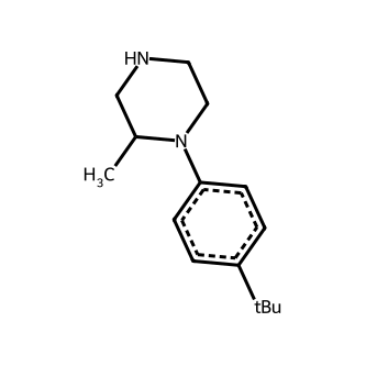 CC1CNCCN1c1ccc(C(C)(C)C)cc1